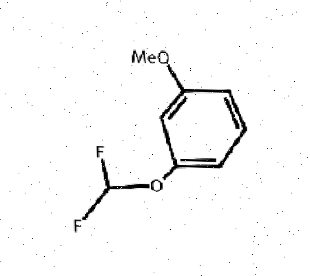 [CH2]Oc1cccc(OC(F)F)c1